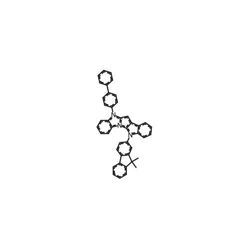 CC1(C)c2ccccc2-c2ccc(-n3c4ccccc4c4cc5n(-c6ccc(-c7ccccc7)cc6)c6ccccc6n5c43)cc21